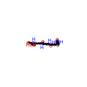 O=[C]CC[C@H](NC(=O)CCCCCNC(=O)CCCCCNC(=O)CCCCC1SCC2NC(=O)NC21)C(=O)O